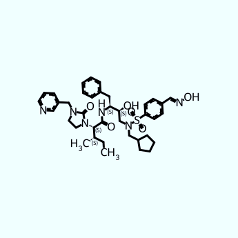 CC[C@H](C)[C@@H](C(=O)N[C@@H](Cc1ccccc1)[C@@H](O)CN(CC1CCCC1)S(=O)(=O)c1ccc(C=NO)cc1)N1CCN(Cc2cccnc2)C1=O